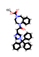 CC(C)(C)OC(=O)N1CCN(C(=O)Cc2cn(C(c3ccccc3)(c3ccccc3)c3ccccc3)cn2)c2ccccc2C1